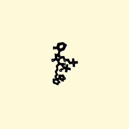 CC(C)(C)[S@@+]([O-])NC(CCCCCC1(c2ccon2)OCCO1)c1c(Cl)nc(-c2ccccc2F)n1COCC[Si](C)(C)C